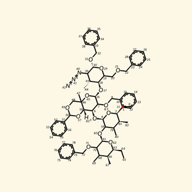 CC[C@@H]1O[C@H](O[C@@H]2C(OCc3ccccc3)[C@H](O[C@@H]3C(COCc4ccccc4)O[C@@H](OCc4ccccc4)C(N=[N+]=[N-])[C@H]3C)OC3(C)COC(c4ccccc4)O[C@@H]23)C(O[C@H]2O[C@@H](CC)[C@@H](C)C(C)C2OCc2ccccc2)C(C)[C@@H]1C